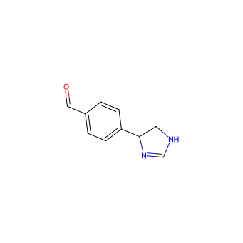 O=Cc1ccc(C2CNC=N2)cc1